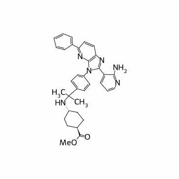 COC(=O)[C@H]1CC[C@H](NC(C)(C)c2ccc(-n3c(-c4cccnc4N)nc4ccc(-c5ccccc5)nc43)cc2)CC1